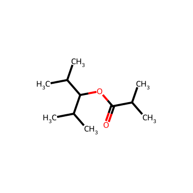 CC(C)C(=O)OC(C(C)C)C(C)C